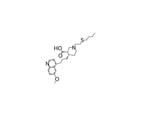 CCCCSCCN1CC[C@@H](CCCc2ccnc3ccc(OC)cc23)[C@@H](C(=O)O)C1